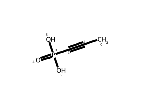 CC#CP(=O)(O)O